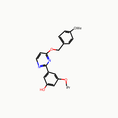 COc1ccc(COc2ccnc(-c3cc(O)cc(OC(C)C)c3)n2)cc1